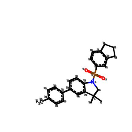 CC1(C)CN(S(=O)(=O)c2ccc3c(c2)[C]CC3)c2ccc(-c3ccc(C(F)(F)F)cc3)cc21